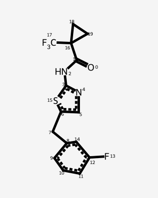 O=C(Nc1ncc(Cc2cccc(F)c2)s1)C1(C(F)(F)F)CC1